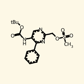 CC(C)(C)OC(=O)Nc1cnc(COS(C)(=O)=O)nc1-c1ccccc1